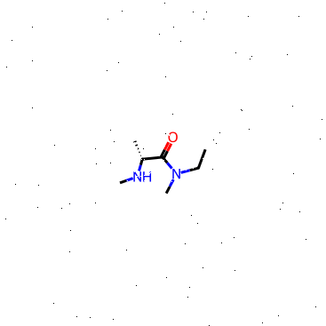 CCN(C)C(=O)[C@@H](C)NC